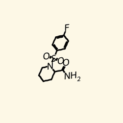 NC(=O)C1CCCCN1S(=O)(=O)c1ccc(F)cc1